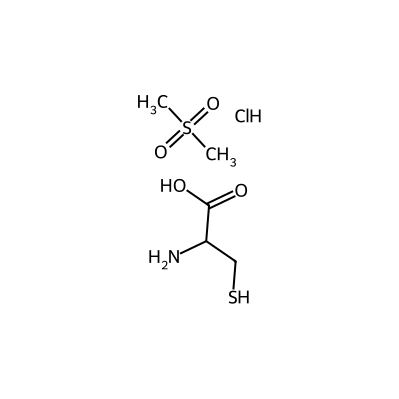 CS(C)(=O)=O.Cl.NC(CS)C(=O)O